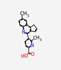 Cc1ccc2nc(-c3ccc(C(=O)O)nc3C)c3c(c2c1)CC=C3